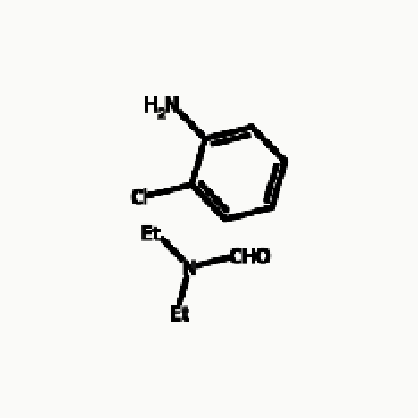 CCN(C=O)CC.Nc1ccccc1Cl